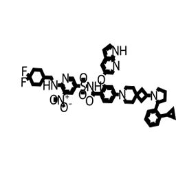 O=C(NS(=O)(=O)c1cnc(NCC2CCC(F)(F)CC2)c([N+](=O)[O-])c1)c1ccc(N2CCC3(CC2)CC(N2CCCC2c2ccccc2C2CC2)C3)cc1Oc1cnc2[nH]ccc2c1